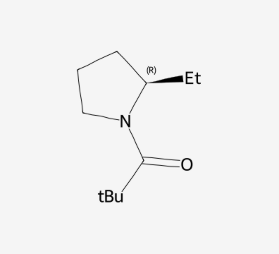 CC[C@@H]1CCCN1C(=O)C(C)(C)C